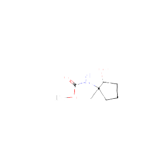 CC(C)(C)OC(=O)NC1(C)CCCC1O